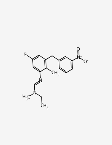 CCN(C)C=Nc1cc(F)cc(Cc2cccc([N+](=O)[O-])c2)c1C